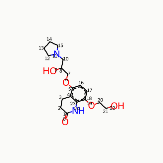 O=C1CCc2c(OCC(O)CN3CCCC3)ccc(OCCO)c2N1